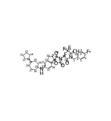 C[C@H](N(Cc1ccc(F)cc1)C(=O)CN1C(=O)O[C@@]2(CCc3cc(NC4CCCC(C5CCCC5)CC4)ccc32)C1=O)C(F)(F)F